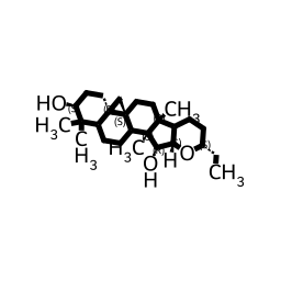 CC[C@H]1CCC2[C@H](O1)[C@H](O)[C@@]1(C)C3CCC4C(C)(C)[C@@H](O)CC[C@@]45C[C@@]35CC[C@]21C